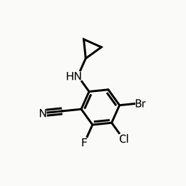 N#Cc1c(NC2CC2)cc(Br)c(Cl)c1F